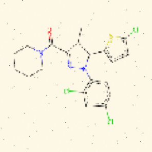 CC1C(C(=O)N2CCCCC2)=NN(c2ccc(Cl)cc2Cl)C1c1ccc(Cl)s1